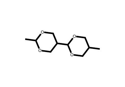 CC1COC(C2COC(C)OC2)OC1